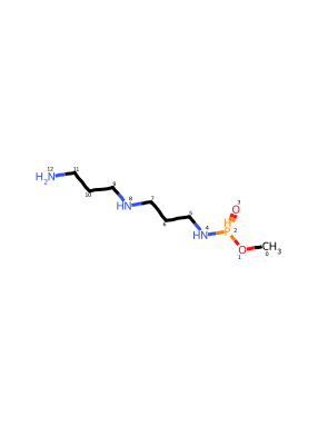 CO[PH](=O)NCCCNCCCN